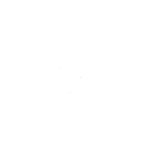 CC(C)(C)OC(=O)N[C@@H]1CCC[C@@](C)(C#N)C1